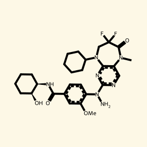 COc1cc(C(=O)N[C@@H]2CCCC[C@@H]2O)ccc1N(N)c1ncc2c(n1)N(C1CCCCC1)CC(F)(F)C(=O)N2C